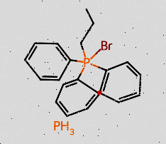 CCCP(Br)(c1ccccc1)(c1ccccc1)c1ccccc1.P